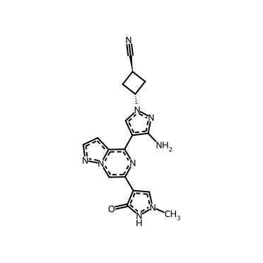 Cn1cc(-c2cn3nccc3c(-c3cn([C@H]4C[C@H](C#N)C4)nc3N)n2)c(=O)[nH]1